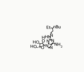 CCCCC(CC)CC=NNc1nc(N)c2ncn([C@@H]3O[C@H](CO)C(O)C3O)c2n1